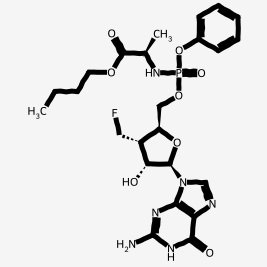 CCCCOC(=O)[C@@H](C)NP(=O)(OC[C@H]1O[C@@H](n2cnc3c(=O)[nH]c(N)nc32)[C@H](O)[C@@H]1CF)Oc1ccccc1